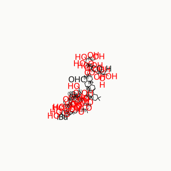 CC[C@H](C)[C@H](C[C@H](O)CC(=O)O[C@@H]1C(C)O[C@@H](OC(=O)[C@]23CCC(C)(C)CC2C2=CCC4[C@@]5(C)CC[C@H](OC(OC(O)C(O)[C@@H](O)C(O)CO)(O[C@@H]6OC(CO)[C@@H](O)C(O)C6O)C(O)(C(=O)O)[C@@H](C)O)[C@@](C)(C=O)C5CC[C@@]4(C)[C@]2(C)C[C@H]3O)C(O[C@@H]2OC(C)[C@H](O[C@H]3OCC(O)[C@H](O[C@@H]4OCC(O)(CO)C4O)C3O)C(O)C2O)C1O)OC(=O)C[C@@H](O)C[C@H](O[C@@H]1O[C@@H](CO)C(O)C1O)[C@@H](C)CC